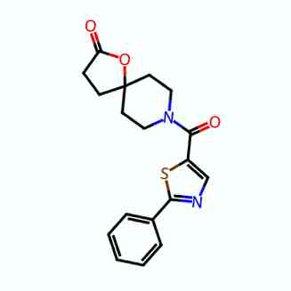 O=C1CCC2(CCN(C(=O)c3cnc(-c4ccccc4)s3)CC2)O1